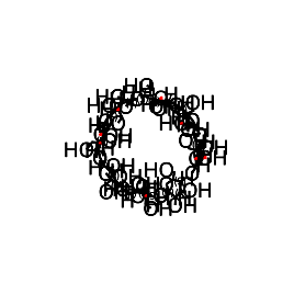 OCC1OC2O[C@@H]3C(CO)O[C@H](O[C@@H]4C(CO)O[C@H](O[C@@H]5C(CO)O[C@H](O[C@@H]6C(CO)O[C@H](O[C@@H]7C(CO)O[C@H](O[C@@H]8C(CO)O[C@H](O[C@@H]9C(CO)OC(O[C@H]1[C@H](O)[C@@H]2O)[C@@H](O)[C@H]9O)C(O)[C@H]8O)C(O)[C@H]7O)C(O)[C@H]6O)C(O)[C@H]5O)C(O)[C@H]4O)C(O)[C@H]3O